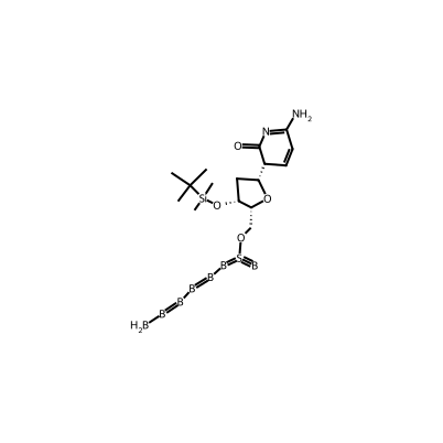 B#S(=BB=BB=BB)OC[C@H]1O[C@@H](C2C=CC(N)=NC2=O)C[C@H]1O[Si](C)(C)C(C)(C)C